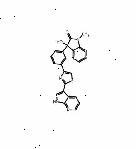 CN1C(=O)C(O)(c2cccc(-c3csc(-c4c[nH]c5ncccc45)n3)c2)c2ncccc21